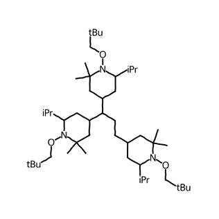 CC(C)C1CC(CCC(C2CC(C(C)C)N(OCC(C)(C)C)C(C)(C)C2)C2CC(C(C)C)N(OCC(C)(C)C)C(C)(C)C2)CC(C)(C)N1OCC(C)(C)C